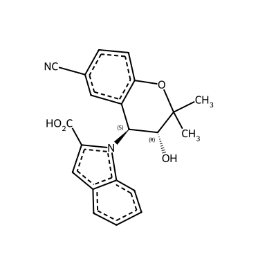 CC1(C)Oc2ccc(C#N)cc2[C@H](n2c(C(=O)O)cc3ccccc32)[C@H]1O